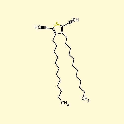 C#Cc1sc(C#C)c(CCCCCCCCCCCC)c1CCCCCCCCCCCC